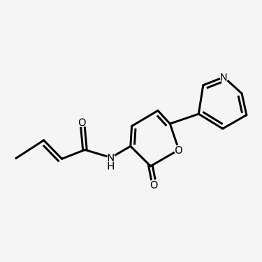 CC=CC(=O)Nc1ccc(-c2cccnc2)oc1=O